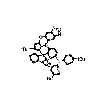 CC(C)(C)c1ccc(N(c2ccc(C(C)(C)C)cc2)c2ccc3c(c2)C2(c4ccccc4-c4ccccc42)c2cc(C(C)(C)C)cc4c2B3c2cc3nonc3cc2O4)cc1